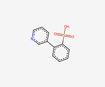 O=S(=O)(O)c1ccccc1-c1cccnc1